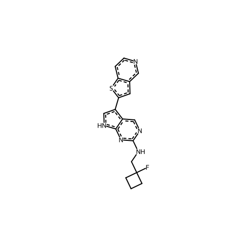 FC1(CNc2ncc3c(-c4cc5cnccc5s4)c[nH]c3n2)CCC1